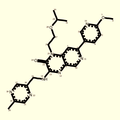 COc1ccc(-c2cc3c(cn2)nc(NCc2cnc(C)cn2)c(=O)n3CCOC(C)C)cn1